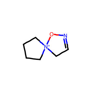 C1=NO[N+]2(C1)CCCC2